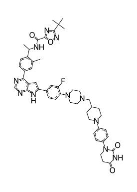 Cc1cc(-c2ncnc3[nH]c(-c4ccc(N5CCN(CC6CCN(c7ccc(N8CCC(=O)NC8=O)cc7)CC6)CC5)c(F)c4)cc23)ccc1C(C)NC(=O)c1nc(C(C)(C)C)no1